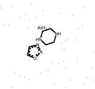 C1CNCCN1.[AsH3].c1conn1